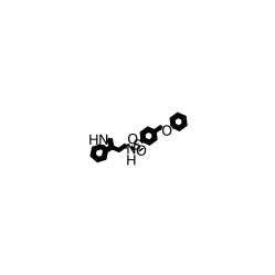 O=S(=O)(NCCc1c[nH]c2ccccc12)c1ccc(COc2ccccc2)cc1